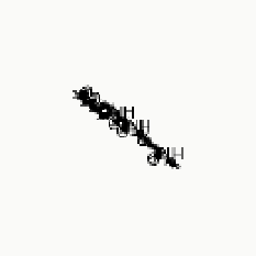 CCCNC(=O)CCCOCCNC(=O)CC(=O)Nc1ccc(CC(=O)CC(C)=O)cc1